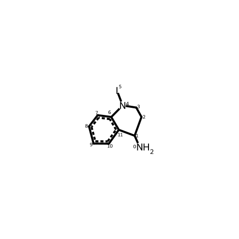 NC1CCN(I)c2ccccc21